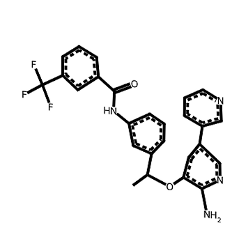 CC(Oc1cc(-c2cccnc2)cnc1N)c1cccc(NC(=O)c2cccc(C(F)(F)F)c2)c1